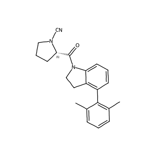 Cc1cccc(C)c1-c1cccc2c1CCN2C(=O)[C@@H]1CCCN1C#N